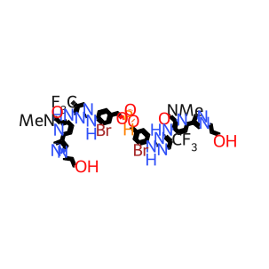 CNC(=O)c1nc(-c2cnn(CCCO)c2)ccc1Nc1nc(Nc2ccc(CO[PH](=O)OCc3ccc(Nc4ncc(C(F)(F)F)c(Nc5ccc(-c6cnn(CCCO)c6)nc5C(=O)NC)n4)c(Br)c3)cc2Br)ncc1C(F)(F)F